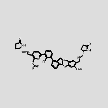 COc1nc(O[C@H]2CCc3c(-c4cccc(-c5ccc(CNC[C@@H]6CCC(=O)N6)c(OC(F)F)n5)c4Cl)cccc32)c(Cl)cc1CNC[C@@H]1CCC(=O)N1